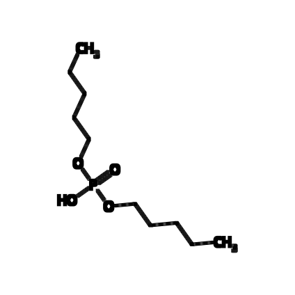 CCCCCOP(=O)(O)OCCCCC